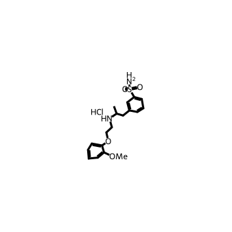 COc1ccccc1OCCNC(C)Cc1cccc(S(N)(=O)=O)c1.Cl